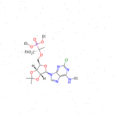 CCNc1nc(Cl)nc2c1ncn2[C@@H]1O[C@H](CO[C@@](C)(C(=O)OCC)P(=O)(OCC)OCC)[C@H]2OC(C)(C)O[C@H]21